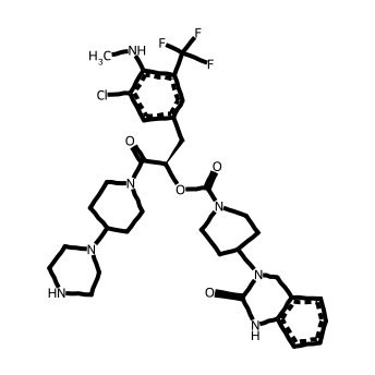 CNc1c(Cl)cc(C[C@@H](OC(=O)N2CCC(N3Cc4ccccc4NC3=O)CC2)C(=O)N2CCC(N3CCNCC3)CC2)cc1C(F)(F)F